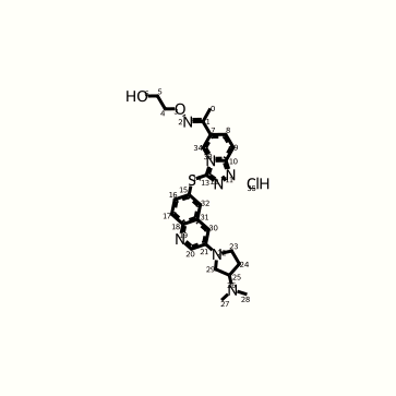 CC(=NOCCO)c1ccc2nnc(Sc3ccc4ncc(N5CCC(N(C)C)C5)cc4c3)n2c1.Cl